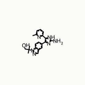 Cc1cccc(-c2[nH]c(N)nc2-c2ccc3c(cnn3C(C)(C)CO)c2)n1